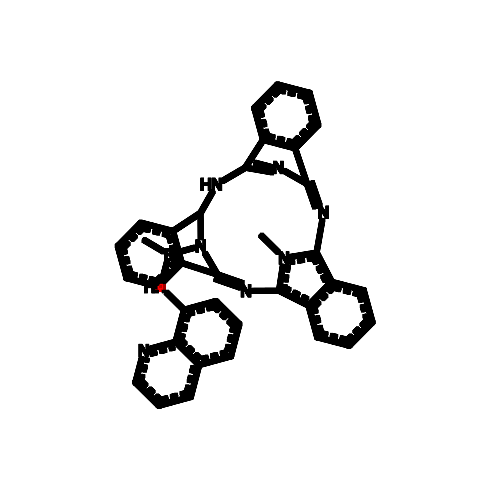 CB(Nc1cccc2cccnc12)N1/C2=N\c3c4ccccc4c(n3C)/N=C3\N=C(NC1c1ccccc12)c1ccccc13